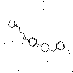 c1ccc(CN2CCN(c3ccc(OCCCN4CCCC4)cc3)CC2)cc1